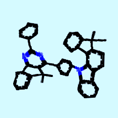 CC1(C)c2ccccc2-c2c1ccc1c3ccccc3n(-c3ccc(-c4nc(-c5ccccc5)nc5c4C(C)(C)c4ccccc4-5)cc3)c21